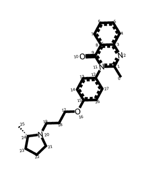 Cc1nc2ccccc2c(=O)n1-c1ccc(OCCCN2CCC[C@@H]2C)cc1